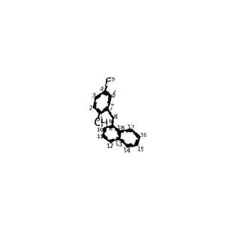 [CH2]c1ccc(F)cc1Cc1cccc2ccccc12